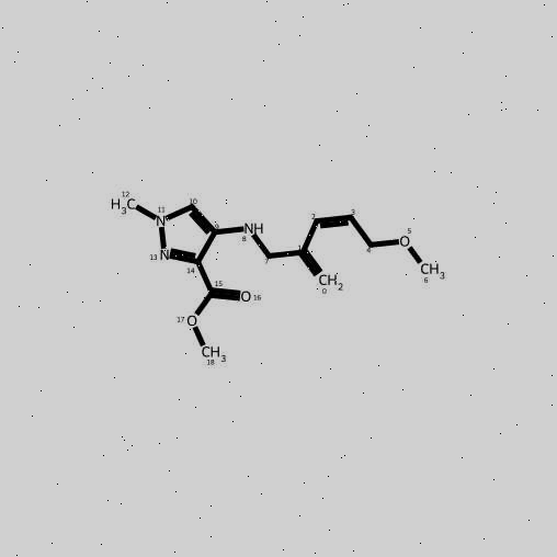 C=C(/C=C\COC)CNc1cn(C)nc1C(=O)OC